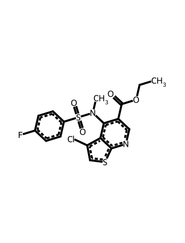 CCOC(=O)c1cnc2scc(Cl)c2c1N(C)S(=O)(=O)c1ccc(F)cc1